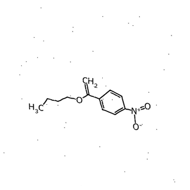 C=C(OCCCC)c1ccc([N+](=O)[O-])cc1